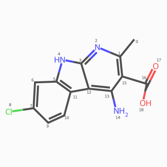 Cc1nc2[nH]c3cc(Cl)ccc3c2c(N)c1C(=O)O